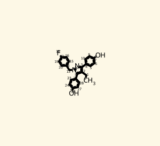 CCc1c(-c2ccc(O)cc2)nn(Cc2ccc(F)cc2)c1-c1ccc(O)cc1